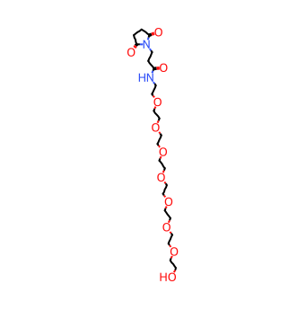 O=C(CCN1C(=O)CCC1=O)NCCOCCOCCOCCOCCOCCOCCOCCO